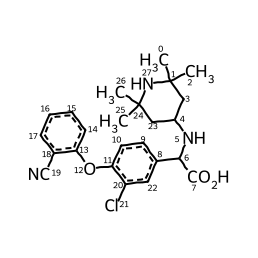 CC1(C)CC(NC(C(=O)O)c2ccc(Oc3ccccc3C#N)c(Cl)c2)CC(C)(C)N1